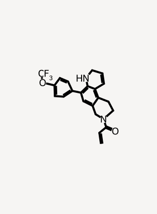 C=CC(=O)N1CCc2c(cc(-c3ccc(OC(F)(F)F)cc3)c3c2C=CCN3)C1